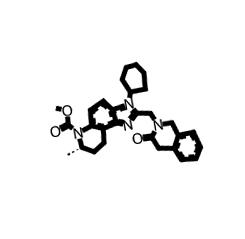 COC(=O)N1c2ccc3c(nc(CN4Cc5ccccc5CC4=O)n3C3CCCCC3)c2CC[C@@H]1C